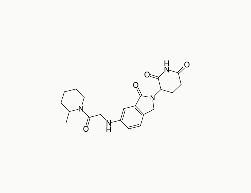 CC1CCCCN1C(=O)CNc1ccc2c(c1)C(=O)N(C1CCC(=O)NC1=O)C2